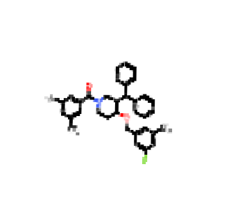 O=C(c1cc(C(F)(F)F)cc(C(F)(F)F)c1)N1CC[C@H](OCc2cc(F)cc(C(F)(F)F)c2)[C@H](C(c2ccccc2)c2ccccc2)C1